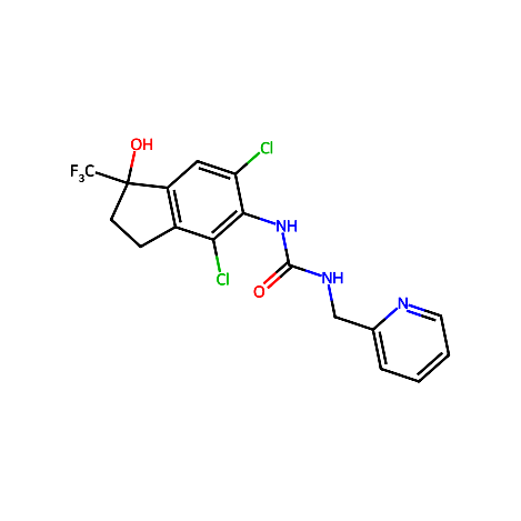 O=C(NCc1ccccn1)Nc1c(Cl)cc2c(c1Cl)CCC2(O)C(F)(F)F